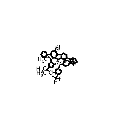 CCCC1C=C(C(C)(C)C)C=[C]1[Zr+2](=[C](c1ccc(C(F)(F)F)cc1)c1ccc(C(F)(F)F)cc1)[CH]1c2cc(-c3ccccc3)ccc2-c2ccc(-c3ccccc3)cc21.[Cl-].[Cl-]